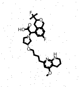 COc1cc(CCCCO[C@@H]2CCN(C(C(=O)O)c3cc(F)cc4c3CC(C(C)(C)F)OC4)C2)nc2c1CCCN2